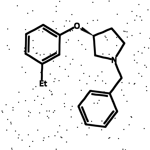 CCc1cccc(O[C@@H]2CCN(Cc3ccccc3)C2)c1